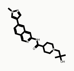 Cn1cc(-c2ccc3cnc(NC(=O)C4CCN(CC(C)(C)O)CC4)cc3c2)cn1